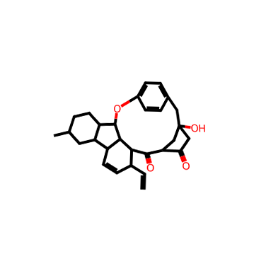 C=CC1C=CC2C3CC(C)CCC3C3Oc4ccc(cc4)CC4(O)CC(=O)C(C4)C(=O)C1C23